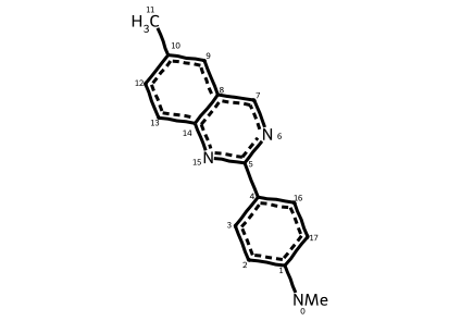 CNc1ccc(-c2ncc3cc(C)ccc3n2)cc1